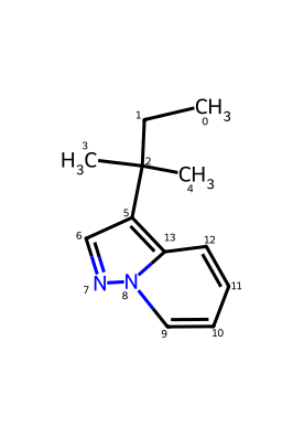 CCC(C)(C)c1cnn2ccccc12